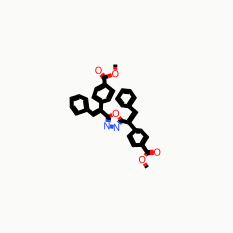 COC(=O)c1ccc(C(=Cc2ccccc2)c2nnc(C(=Cc3ccccc3)c3ccc(C(=O)OC)cc3)o2)cc1